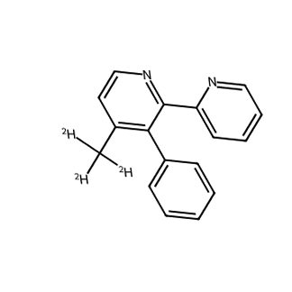 [2H]C([2H])([2H])c1ccnc(-c2ccccn2)c1-c1ccccc1